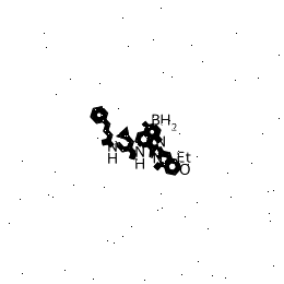 Bc1cc2nc3c(c4c2c(c1C)CCC4NC(=C)C(CCNC(=C)CCCc1ccccc1)CC1CC1)CN1C(=C)C2=C(C=C31)C(CC)C(=O)CC2